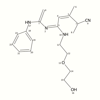 C=C(/N=C(\C=C(\C)C(C)C#N)NCCOCCO)Nc1ccccc1